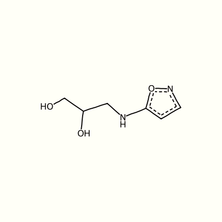 OCC(O)CNc1ccno1